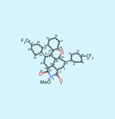 COn1c(=O)c2cc(-c3ccc(C(F)(F)F)cc3)c3oc4ccccc4c4c(-c5ccc(C(F)(F)F)cc5)cc(c1=O)c2c34